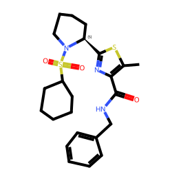 Cc1sc([C@@H]2CCCCN2S(=O)(=O)C2CCCCC2)nc1C(=O)NCc1ccccc1